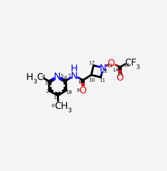 Cc1cc(C)nc(NC(=O)C2CN(OC(=O)C(F)(F)F)C2)c1